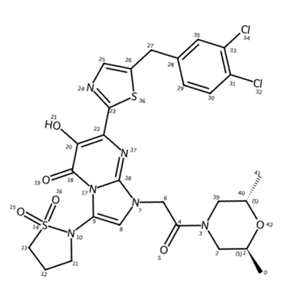 C[C@H]1CN(C(=O)Cn2cc(N3CCCS3(=O)=O)n3c(=O)c(O)c(-c4ncc(Cc5ccc(Cl)c(Cl)c5)s4)nc23)C[C@H](C)O1